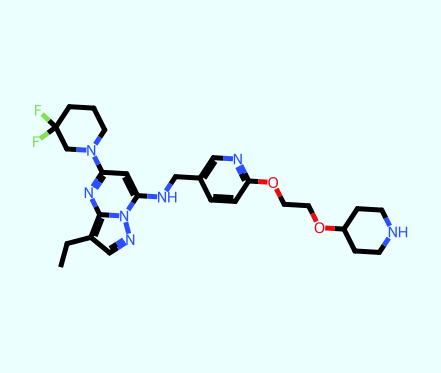 CCc1cnn2c(NCc3ccc(OCCOC4CCNCC4)nc3)cc(N3CCCC(F)(F)C3)nc12